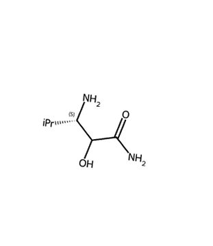 CC(C)[C@H](N)C(O)C(N)=O